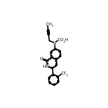 CC#CCN(C(=O)O)c1ccc2cc(-c3ccccc3C(F)(F)F)[nH]c(=O)c2c1